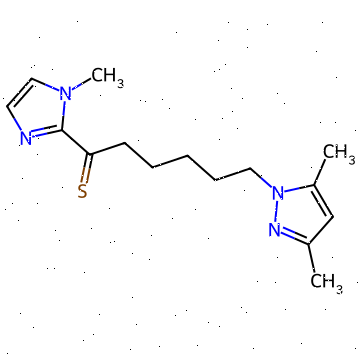 Cc1cc(C)n(CCCCCC(=S)c2nccn2C)n1